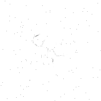 CC(=O)c1c(C)n(-c2ccccc2)[nH]c1=O